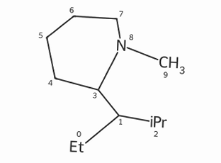 CCC(C(C)C)C1CCCCN1C